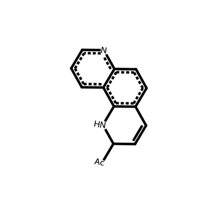 CC(=O)C1C=Cc2ccc3ncccc3c2N1